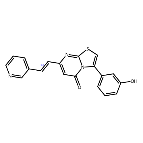 O=c1cc(/C=C/c2cccnc2)nc2scc(-c3cccc(O)c3)n12